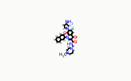 CN1CCCN(CNC(=O)c2cn3c4c(c(N5CCC(N)C5)c(F)cc4c2=O)Oc2cc4ccccc4cc2-3)CC1